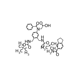 CC(C)(C)OC(=O)NCc1ccc(N(CC(=O)O)C(=O)c2ccccc2)cc1CNC(=O)OC(C)(C)C.NC(=O)c1ccc2c(c1)CCC2